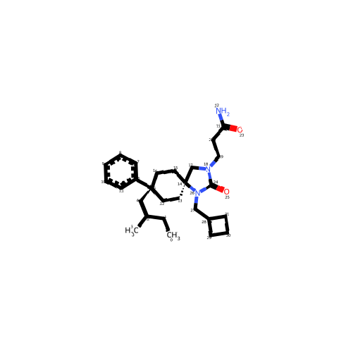 CCC(C)C[C@]1(c2ccccc2)CC[C@]2(CC1)CN(CCC(N)=O)C(=O)N2CC1CCC1